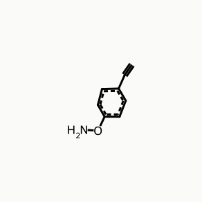 C#Cc1ccc(ON)cc1